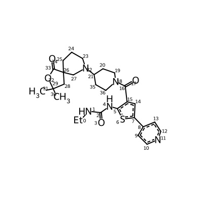 CCNC(=O)Nc1sc(-c2ccncc2)cc1C(=O)N1CCC(N2CCCC3(C2)CC(C)(C)OC3=O)CC1